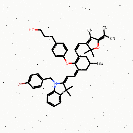 CC1(C)OC(=C(C#N)C#N)C(C#N)=C1C=CC1=C(Oc2ccc(CCCO)cc2)C(=CC=C2N(Cc3ccc(Br)cc3)c3ccccc3C2(C)C)CC(C(C)(C)C)C1